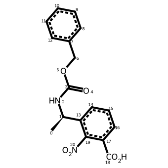 C[C@@H](NC(=O)OCc1ccccc1)c1cccc(C(=O)O)c1[N+](=O)[O-]